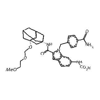 COCCOCO[C@]12CC3CC(C[C@@](NC(=O)c4cc5ccc(NC(=O)O)cc5n4Cc4ccc(C(N)=O)cc4)(C3)C1)C2